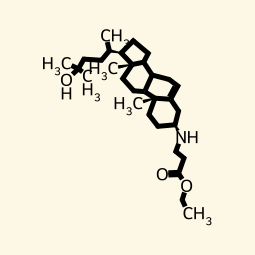 CCOC(=O)CCN[C@H]1CC[C@@]2(C)C(=CCC3C2CC[C@@]2(C)C3CC[C@@H]2C(C)CCC(C)(C)O)C1